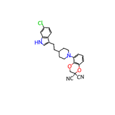 N#CC1(C#N)COc2c(cccc2N2CCC(CCc3c[nH]c4cc(Cl)ccc34)CC2)O1